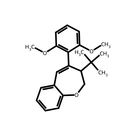 COc1cccc(OC)c1C1=Cc2ccccc2OCC1C(C)(C)C